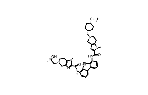 C[C@H](O)CN1CCc2c(nc(C(=O)Nc3cccc(-c4cccc(NC(=O)c5nc6c(n5C)CCN(C[C@H]5CC[C@@H](C(=O)O)CC5)C6)c4Cl)c3Cl)n2C)C1